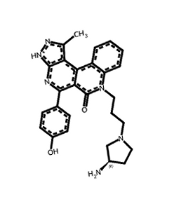 Cc1n[nH]c2nc(-c3ccc(O)cc3)c3c(=O)n(CCCN4CC[C@@H](N)C4)c4ccccc4c3c12